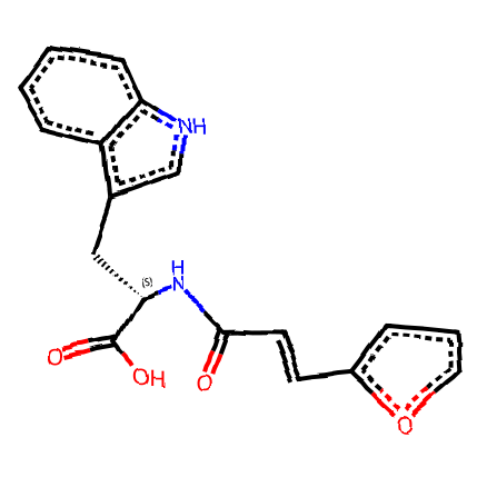 O=C(C=Cc1ccco1)N[C@@H](Cc1c[nH]c2ccccc12)C(=O)O